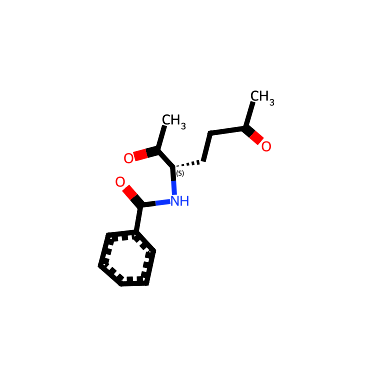 CC(=O)CC[C@H](NC(=O)c1ccccc1)C(C)=O